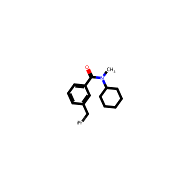 CC(C)Cc1cccc(C(=O)N(C)C2CCCCC2)c1